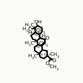 COC(=O)[C@@]1(C)CC[C@]2(C)CC[C@]3(C)C(=CC(=O)[C@@H]4[C@@]5(C)CC[C@H](O)C(C)(C)[C@@H]5CC[C@]43C)C2C1